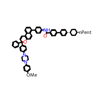 CCCCC[C@H]1CC[C@H](c2ccc(-c3ccc(C(=O)Nc4ccc(-c5cccc6c7c(ccc56)OC(c5ccccc5)(c5ccc(N6CCN(c8ccc(OC)cc8)CC6)cc5)C=C7)cc4)cc3)cc2)CC1